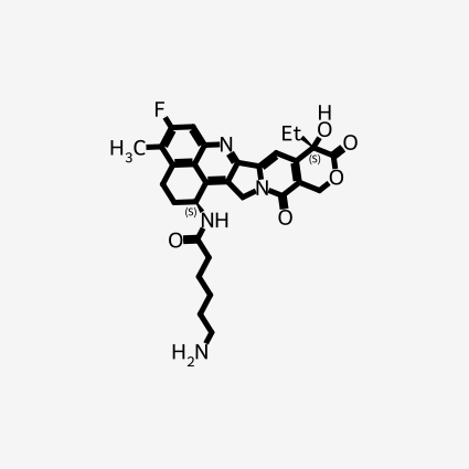 CC[C@@]1(O)C(=O)OCc2c1cc1n(c2=O)Cc2c-1nc1cc(F)c(C)c3c1c2[C@@H](NC(=O)CCCCCN)CC3